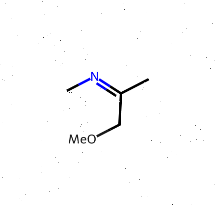 C/N=C(/C)COC